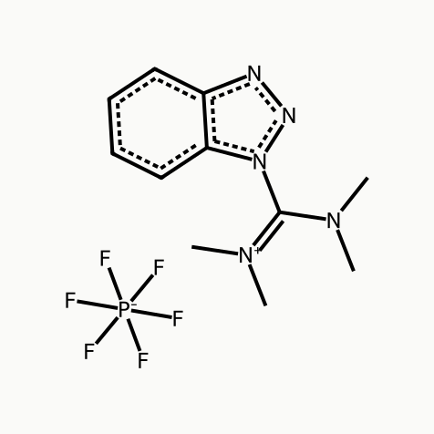 CN(C)C(n1nnc2ccccc21)=[N+](C)C.F[P-](F)(F)(F)(F)F